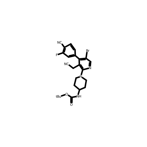 CC(C)(C)OC(=O)NC1CCN(c2ncc(Br)c(-c3ccc(C#N)c(F)c3)c2CC#N)CC1